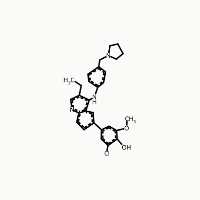 CCc1cnc2ccc(-c3cc(Cl)c(O)c(OC)c3)cc2c1Nc1ccc(CN2CCCC2)cc1